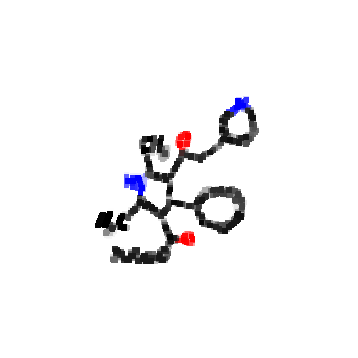 COC(=O)C1=C(C)NC(C)=C(C(=O)Cc2cccnc2)C1c1ccccc1